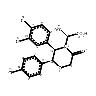 CCC[C@H](C(=O)O)N1C(=O)CO[C@@H](c2ccc(Cl)cc2)[C@H]1c1ccc(Cl)c(Cl)c1